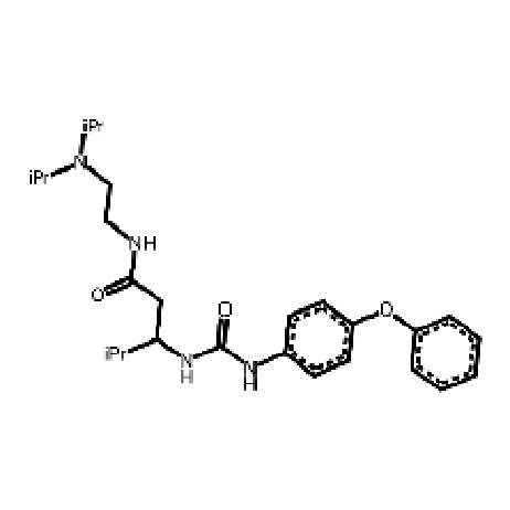 CC(C)C(CC(=O)NCCN(C(C)C)C(C)C)NC(=O)Nc1ccc(Oc2ccccc2)cc1